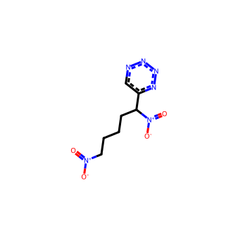 O=[N+]([O-])CCCCC(c1cnnnn1)[N+](=O)[O-]